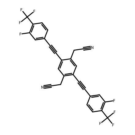 N#CCc1cc(C#Cc2ccc(C(F)(F)F)c(F)c2)c(CC#N)cc1C#Cc1ccc(C(F)(F)F)c(F)c1